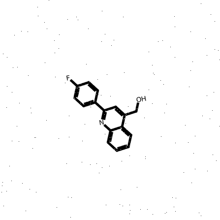 OCc1cc(-c2ccc(F)cc2)nc2ccccc12